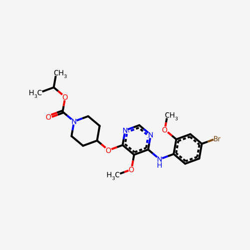 COc1cc(Br)ccc1Nc1ncnc(OC2CCN(C(=O)OC(C)C)CC2)c1OC